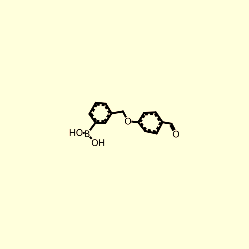 O=Cc1ccc(OCc2cccc(B(O)O)c2)cc1